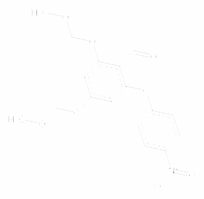 COCOc1cc(OCOC)c(C=O)c(Oc2ccc([N+](=O)[O-])cc2)c1